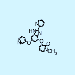 Cn1cccc(Oc2cc(Oc3cccnc3)cc3[nH]c(-c4ccccn4)nc23)c1=O